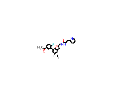 CC(=O)c1ccc(F)c(-c2cc(C)cc3c2OC(CNC(=O)C=Cc2ccccn2)C3)c1